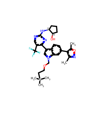 Cc1noc(C)c1-c1ccc2c(-c3nc(N[C@H]4CCC[C@H]4O)ncc3C(F)(F)F)cn(COCC[Si](C)(C)C)c2c1